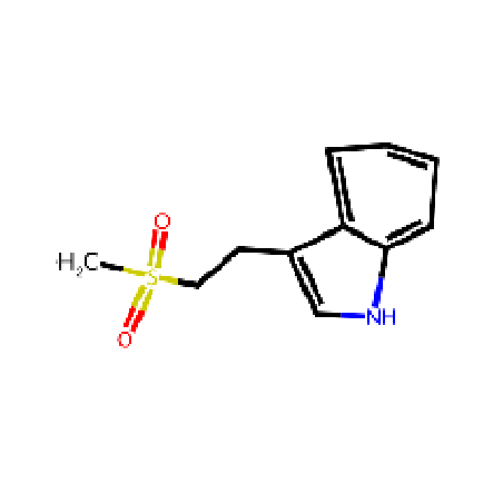 [CH2]S(=O)(=O)CCc1c[nH]c2ccccc12